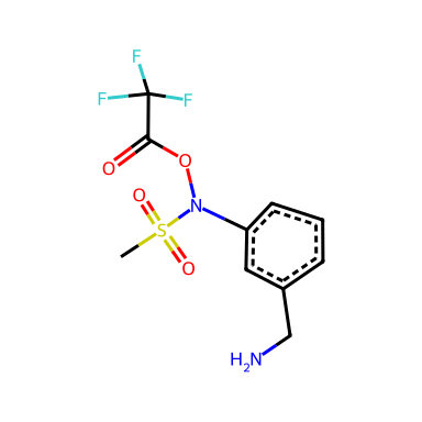 CS(=O)(=O)N(OC(=O)C(F)(F)F)c1cccc(CN)c1